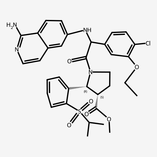 CCOc1cc(C(Nc2ccc3c(N)nccc3c2)C(=O)N2CC[C@H](C(=O)OC)[C@@H]2c2ccccc2S(=O)(=O)C(C)C)ccc1Cl